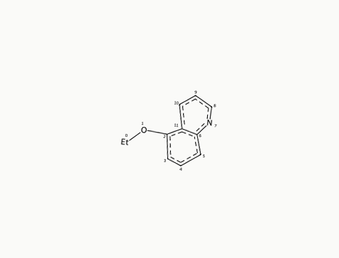 CCOc1cccc2ncccc12